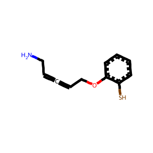 NCC=C=CCOc1ccccc1S